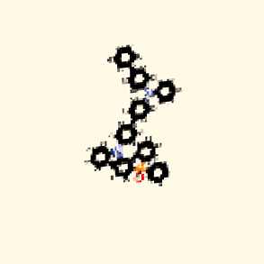 O=P1(c2ccccc2)c2ccccc2-c2c1ccc1c3ccccc3n(-c3ccc(-c4ccc(N(c5ccccc5)c5ccc(-c6ccccc6)cc5)cc4)cc3)c21